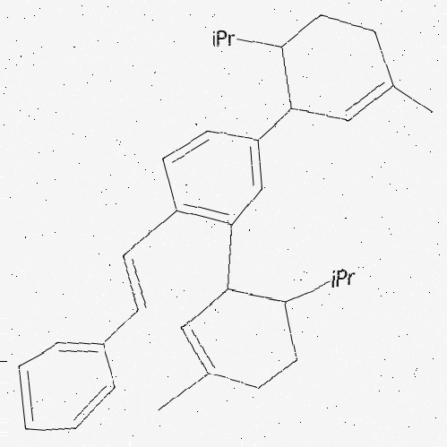 CC1=CC(c2ccc(/C=C/c3ccccc3)c(C3C=C(C)CCC3C(C)C)c2)C(C(C)C)CC1